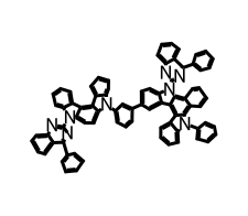 c1ccc(-c2nc(-n3c4ccccc4c4c5c6ccccc6n(-c6cccc(-c7ccc8c(c7)c7c9c%10ccccc%10n(-c%10ccccc%10)c9c9ccccc9c7n8-c7nc(-c8ccccc8)c8ccccc8n7)c6)c5ccc43)nc3ccccc23)cc1